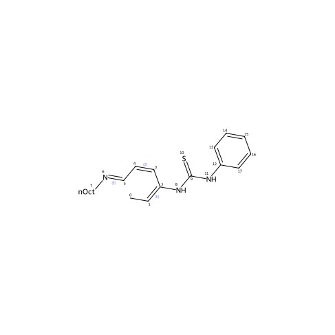 C\C=C(/C=C\C=N\CCCCCCCC)NC(=S)Nc1ccccc1